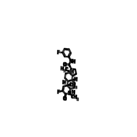 CN1C(=O)C(F)=C[C@]2(C)[C@H]3CC[C@]4(C)[C@@H](C(=O)Nc5cccc(F)c5)CC[C@H]4[C@@H]3CC[C@@H]12